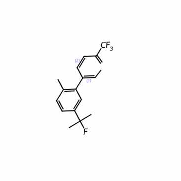 C=C(/C=C\C(=C/C)c1cc(C(C)(C)F)ccc1C)C(F)(F)F